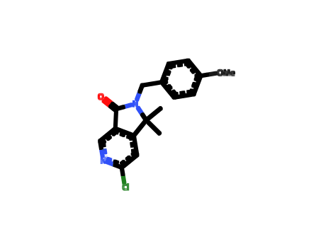 COc1ccc(CN2C(=O)c3cnc(Cl)cc3C2(C)C)cc1